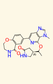 CC(Oc1nc(-c2ccc3c(c2)C(=O)NCCO3)cc2ncn(C)c12)[C@H]1CNC(=O)C1